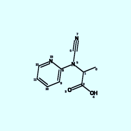 CC(C(=O)O)N(C#N)c1ccccn1